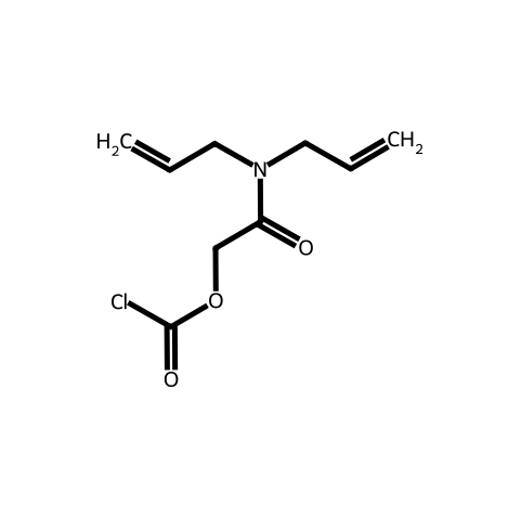 C=CCN(CC=C)C(=O)COC(=O)Cl